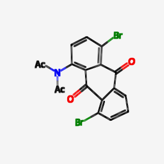 CC(=O)N(C(C)=O)c1ccc(Br)c2c1C(=O)c1c(Br)cccc1C2=O